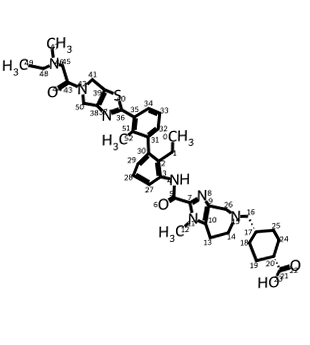 CCc1c(NC(=O)c2nc3c(n2C)CCN(C[C@H]2CC[C@@H](C(=O)O)CC2)C3)cccc1-c1cccc(-c2nc3c(s2)CN(C(=O)CN(C)CC)C3)c1C